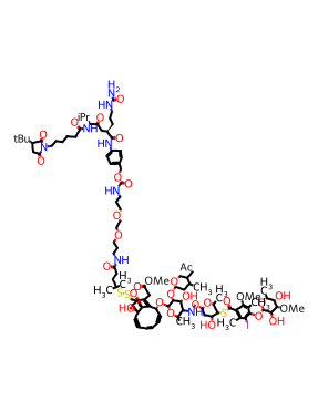 COC(=O)CC1=C2/C(=C/CSSC(C)(C)CCC(=O)NCCCOCCOCCCNC(=O)OCc3ccc(NC(=O)[C@H](CCCNC(N)=O)CC(=O)[C@@H](NC(=O)CCCCCN4C(=O)CC(C(C)(C)C)C4=O)C(C)C)cc3)[C@](O)(C#C/C=C\C#C[C@@H]2OC2OC(C)C(NOC3CC(O)C(SC(=O)c4c(C)c(I)c(OC5OC(C)C(O)C(OC)C5O)c(C)c4OC)C(C)O3)C(O)C2OC2CC(C)C(CC(C)=O)CO2)CC1=O